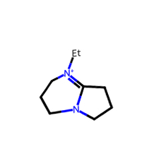 CC[N+]1=C2CCCN2CCC1